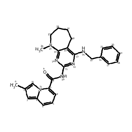 Cc1cc2cccc(C(=O)Nc3nc(NCc4ccccc4)c4c(n3)N(C)CCCC4)n2c1